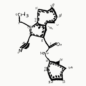 CCn1c(C#N)c(C(=O)Nc2ccccc2)c2ccccc21